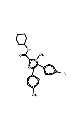 Cc1ccc(-c2nc(C(=O)NC3CCCCC3)n(C)c2-c2ccc(C)cc2)cc1